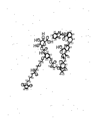 CCC1(Cn2ncc(-c3ccc(N4CCc5cccc(C(=O)Nc6nc7ccccc7s6)c5C4)nc3C(=O)O)c2C)CC2(C)CC(C)(C)CC(OCCN(C)C(=O)OCc3ccc(NC(=O)O[C@@H]4O[C@H](C(=O)O)[C@H](O)[C@H](O)[C@@H]4O)c(OCCOCCNC(=O)CCCCCN4C(=O)C=CC4=O)c3)(C2)C1